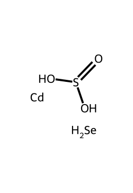 O=S(O)O.[Cd].[SeH2]